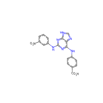 O=C(O)c1ccc(Nc2nc(Nc3cccc([N+](=O)[O-])c3)nc3[nH]cnc23)cc1